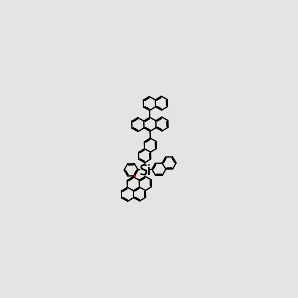 c1ccc([Si](c2ccc3ccccc3c2)(c2ccc3cc(-c4c5ccccc5c(-c5cccc6ccccc56)c5ccccc45)ccc3c2)c2ccc3ccc4cccc5ccc2c3c45)cc1